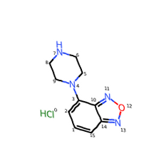 Cl.c1cc(N2CCNCC2)c2nonc2c1